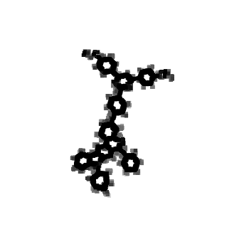 Cc1ccc(-c2cc(-c3ccc(C)cc3)nc(-c3ccc(-c4ccc5c(c4)nc(-c4ccccc4)c4cc6c(cc45)c4ccccc4n6-c4ccccc4)cc3)n2)cc1